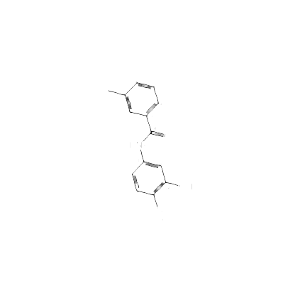 Cc1cccc(C(=O)Nc2ccc(O)c(O)c2)c1